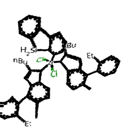 CCCCC1=Cc2c(ccc(C)c2-c2ccccc2CC)[CH]1[Zr]([Cl])([Cl])([c]1cccc2c1[SiH2]c1ccccc1-2)[CH]1C(CCCC)=Cc2c1ccc(C)c2-c1ccccc1CC